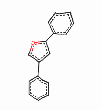 [c]1cccc(-c2cc(-c3ccccc3)co2)c1